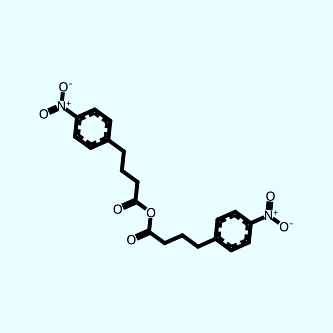 O=C(CCCc1ccc([N+](=O)[O-])cc1)OC(=O)CCCc1ccc([N+](=O)[O-])cc1